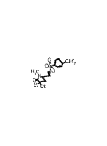 CCC1(CC)CC(CCOS(=O)(=O)c2ccc(C)cc2)N(C)C1=O